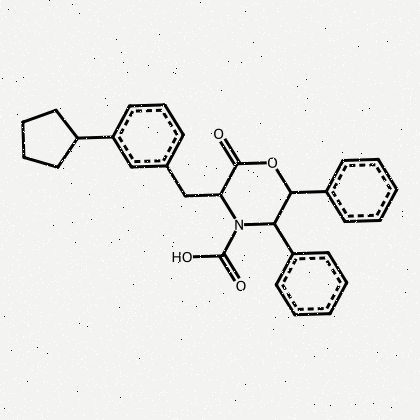 O=C1OC(c2ccccc2)C(c2ccccc2)N(C(=O)O)C1Cc1cccc(C2CCCC2)c1